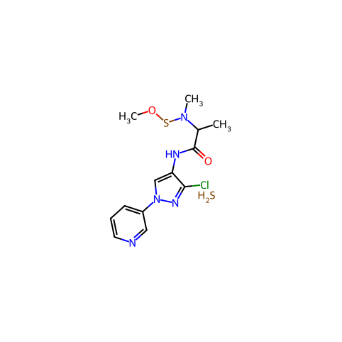 COSN(C)C(C)C(=O)Nc1cn(-c2cccnc2)nc1Cl.S